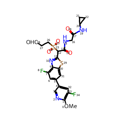 COc1ncc(-c2cc(F)c3nc(C(C(=O)NCC(=O)NC4CC4)S(=O)(=O)CCC=O)sc3c2)cc1F